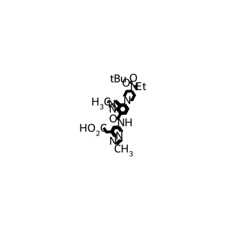 CCN(C(=O)OC(C)(C)C)C1CCN(c2ccc(C(=O)Nc3cc(CC(=O)O)c4nc(C)cn4c3)c3nn(C)cc23)CC1